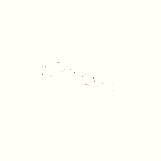 COC(=O)/C=C/c1ccc(CNc2ccc3ncccc3c2)cc1